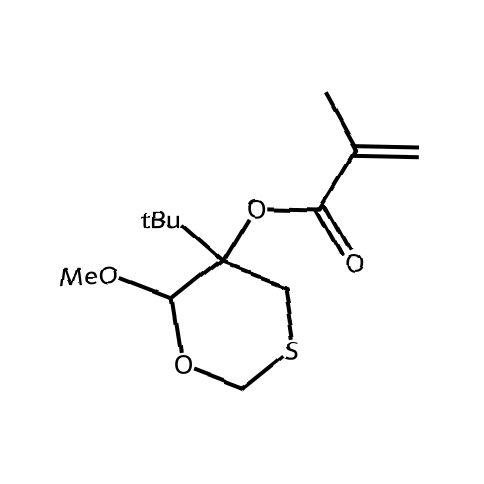 C=C(C)C(=O)OC1(C(C)(C)C)CSCOC1OC